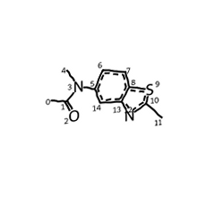 CC(=O)N(C)c1ccc2sc(C)nc2c1